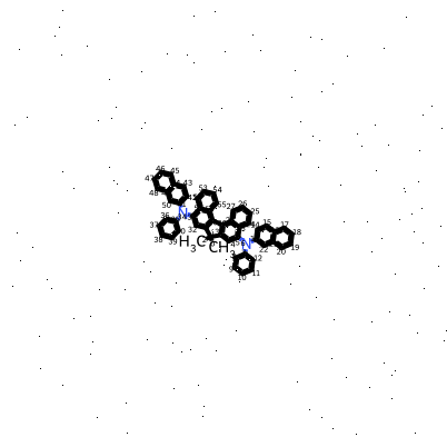 CC1(C)c2cc(N(c3ccccc3)c3ccc4ccccc4c3)c3ccccc3c2-c2c1cc(N(c1ccccc1)c1ccc3ccccc3c1)c1ccccc21